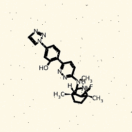 CN(c1ccc(-c2ccc(-n3ccnn3)cc2O)nn1)[C@@H]1[C@@H](F)[C@@]2(C)CC[C@]1(C)CN2